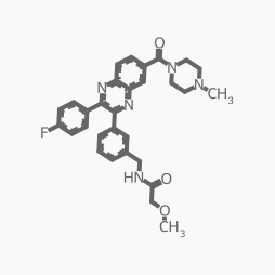 COCC(=O)NCc1cccc(-c2nc3cc(C(=O)N4CCN(C)CC4)ccc3nc2-c2ccc(F)cc2)c1